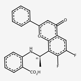 C[C@@H](Nc1ccccc1C(=O)O)c1c(F)c(F)cc2c(=O)cc(-c3ccccc3)oc12